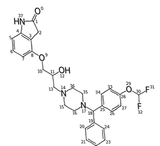 O=C1Cc2c(cccc2OCC(O)CN2CCN(C(c3ccccc3)c3ccc(OC(F)F)cc3)CC2)N1